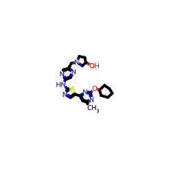 Cc1cc(-c2cnc(Nc3cnc(CN4CCC(O)C4)cn3)s2)nc(OC2CCCCC2)n1